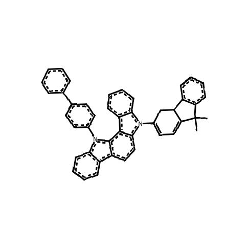 CC1(C)C2=CC=C(n3c4ccccc4c4c3ccc3c5ccccc5n(-c5ccc(-c6ccccc6)cc5)c34)CC2c2ccccc21